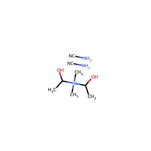 CC(O)[N+](C)(C)C(C)O.N#CN.N#CN